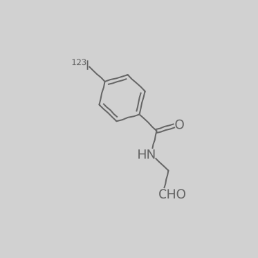 O=CCNC(=O)c1ccc([123I])cc1